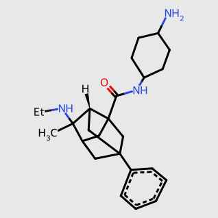 CCNC1(C)C2CC3(c4ccccc4)C[C@H]1C(C(=O)NC1CCC(N)CC1)(C2)C3